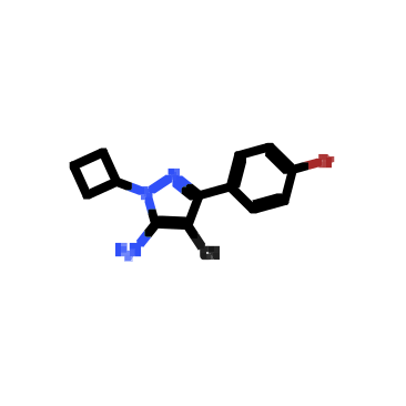 N#Cc1c(-c2ccc(Br)cc2)nn(C2CCC2)c1N